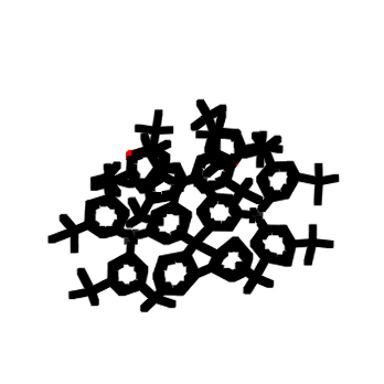 CC(C)(C)c1cc(N(c2cc(C(C)(C)C)cc(C(C)(C)C)c2)c2cc(N(c3cc(C(C)(C)C)cc(C(C)(C)C)c3)c3cc(C(C)(C)C)cc(C(C)(C)C)c3)cc(C3(c4cc(N(c5cc(C(C)(C)C)cc(C(C)(C)C)c5)c5cc(C(C)(C)C)cc(C(C)(C)C)c5)cc(N(c5cc(C(C)(C)C)cc(C(C)(C)C)c5)c5cc(C(C)(C)C)cc(C(C)(C)C)c5)c4)c4ccccc4-c4ccccc43)c2)cc(C(C)(C)C)c1